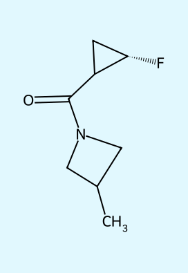 CC1CN(C(=O)C2C[C@@H]2F)C1